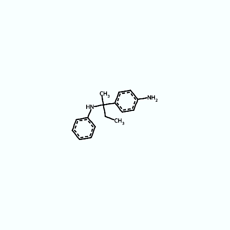 CCC(C)(Nc1ccccc1)c1ccc(N)cc1